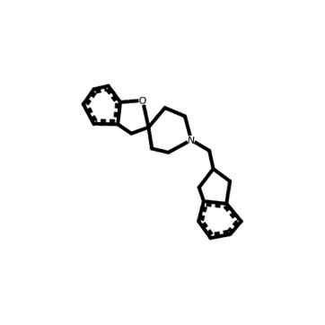 c1ccc2c(c1)CC(CN1CCC3(CC1)Cc1ccccc1O3)C2